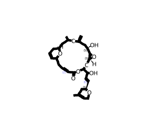 C=C1CC(C)C[C@@H]2CC=CC(C/C=C\C(=O)OC(C(O)/C=C/[C@@H]3CC(C)=CCO3)C[C@@H]3OC3[C@@H](O)C1)O2